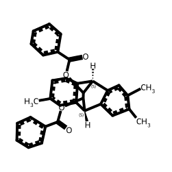 Cc1ccc2c(c1)[C@H]1c3cc(C)c(C)cc3[C@H]2C(OC(=O)c2ccccc2)C1OC(=O)c1ccccc1